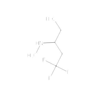 CCC(CC(F)(F)F)NC